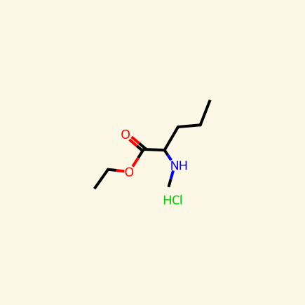 CCCC(NC)C(=O)OCC.Cl